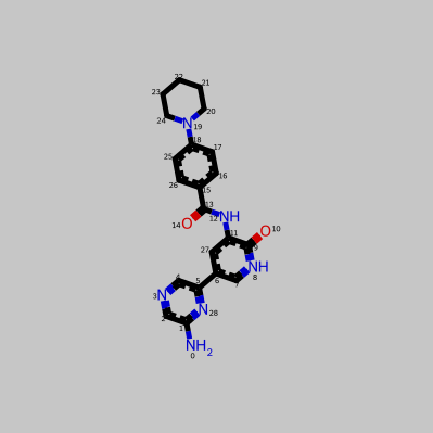 Nc1cncc(-c2c[nH]c(=O)c(NC(=O)c3ccc(N4CCCCC4)cc3)c2)n1